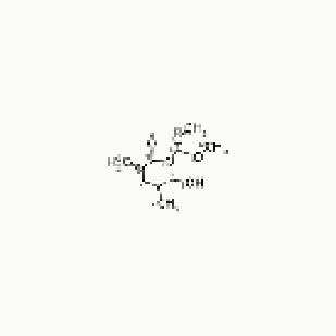 C=C(CC(C)CO)C(=O)OC(OC)OC